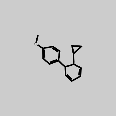 COc1ccc(C2C=CC=CC2C2CC2)cc1